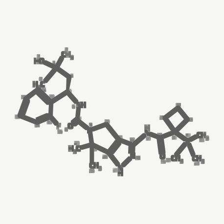 CC(C)(O)C[C@@H](NC(=O)N1Cc2c(NC(=O)C3(S(C)(C)C)CCC3)n[nH]c2C1(C)C)c1ccccc1F